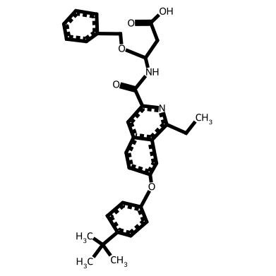 CCc1nc(C(=O)NC(CC(=O)O)OCc2ccccc2)cc2ccc(Oc3ccc(C(C)(C)C)cc3)cc12